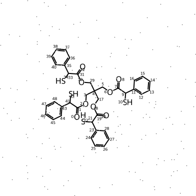 O=C(OCC(COC(=O)C(S)c1ccccc1)(COC(=O)C(S)c1ccccc1)COC(=O)C(S)c1ccccc1)C(S)c1ccccc1